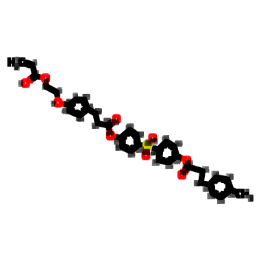 C=CC(=O)OCCOc1ccc(CCC(=O)Oc2ccc(S(=O)(=O)c3ccc(OC(=O)CCc4ccc(C)cc4)cc3)cc2)cc1